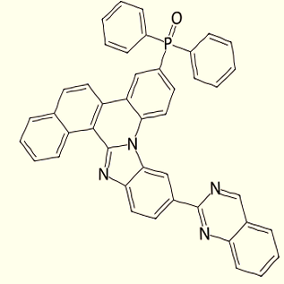 O=P(c1ccccc1)(c1ccccc1)c1ccc2c(c1)c1ccc3ccccc3c1c1nc3ccc(-c4ncc5ccccc5n4)cc3n21